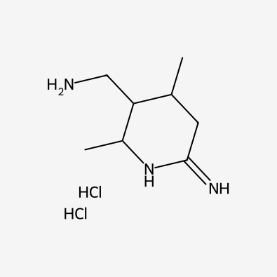 CC1CC(=N)NC(C)C1CN.Cl.Cl